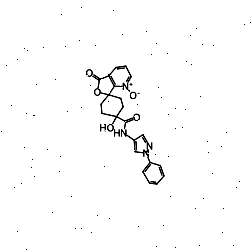 O=C1OC2(CCC(O)(C(=O)Nc3cnn(-c4ccccc4)c3)CC2)c2c1ccc[n+]2[O-]